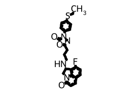 CCSc1ccc(-n2nc(CCCN[C@H]3Cn4c(=O)ccc5ccc(F)c3c54)oc2=O)cc1